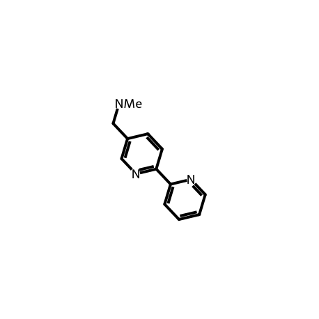 CNCc1ccc(-c2ccccn2)nc1